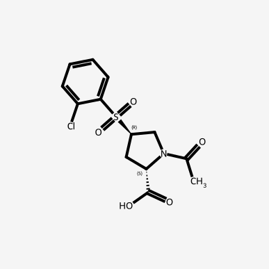 CC(=O)N1C[C@H](S(=O)(=O)c2ccccc2Cl)C[C@H]1C(=O)O